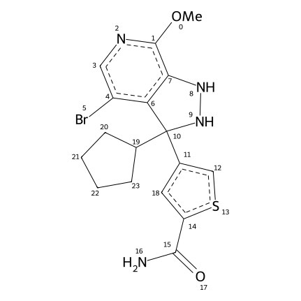 COc1ncc(Br)c2c1NNC2(c1csc(C(N)=O)c1)C1CCCC1